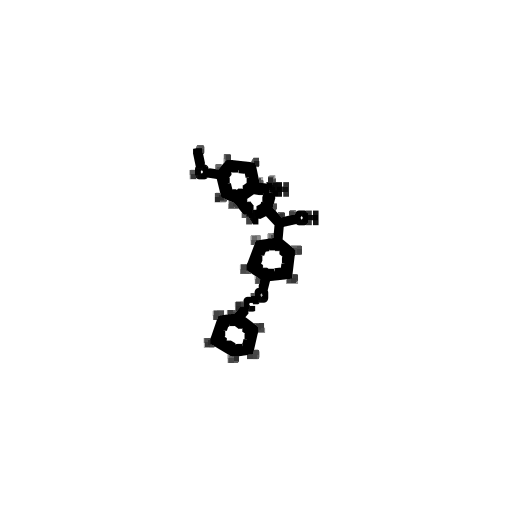 COc1ccc2[nH]c(C(O)c3ccc(OCc4ccccc4)cc3)nc2c1